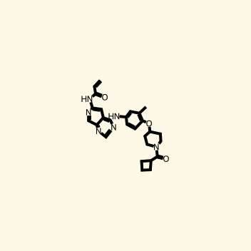 C=CC(=O)Nc1cc2c(Nc3ccc(OC4CCN(C(=O)C5CCC5)CC4)c(C)c3)ncnc2cn1